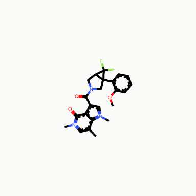 COc1ccccc1C12CN(C(=O)c3cn(C)c4c(C)cn(C)c(=O)c34)CC1C2(F)F